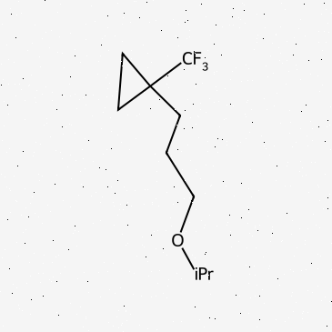 CC(C)OCCCC1(C(F)(F)F)CC1